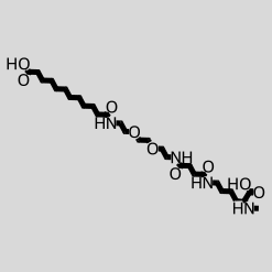 CN[C@@H](CCCCNC(=O)CCC(=O)NCCOCCOCCNC(=O)CCCCCCCCCCC(=O)O)C(=O)O